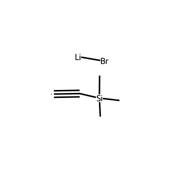 [C]#C[Si](C)(C)C.[Li][Br]